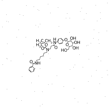 CC(C)(C)OC(=O)N(CCCCCCNC(=O)c1ccccc1)CCC(=O)Nc1ccc(OC2OC(CO)C(O)C(O)C2O)cc1